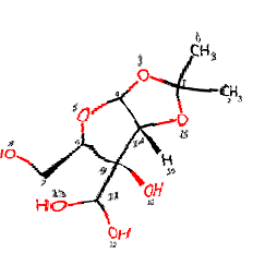 CC1(C)OC2O[C@H](CO)[C@@](O)(C(O)O)[C@H]2O1